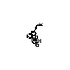 CC(=O)CC#Cc1ccc2c(N3CCC(=O)NC3=O)cncc2c1